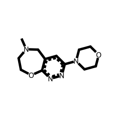 CN1CCOc2nnc(N3CCOCC3)cc2C1